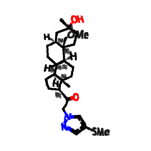 COC[C@]12CC[C@@](C)(O)C[C@@H]1CC[C@H]1[C@@H]3CC[C@H](C(=O)Cn4cc(SC)cn4)[C@@]3(C)CC[C@@H]12